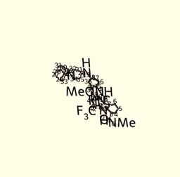 CNC(=O)c1cccc(C)c1Nc1nc(Nc2ccc(NC3CCN(C45CC6CC(CC(C6)C4)C5)CC3)cc2OC)ncc1C(F)(F)F